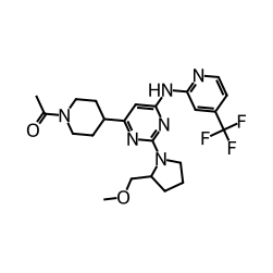 COCC1CCCN1c1nc(Nc2cc(C(F)(F)F)ccn2)cc(C2CCN(C(C)=O)CC2)n1